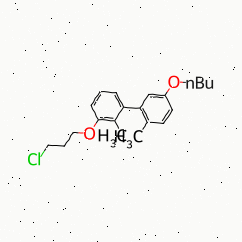 CCCCOc1ccc(C)c(-c2cccc(OCCCCl)c2C)c1